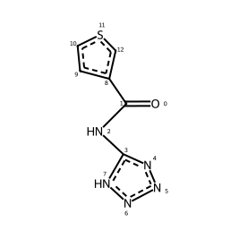 O=C(Nc1nnn[nH]1)c1ccsc1